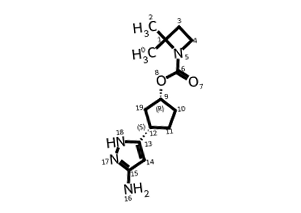 CC1(C)CCN1C(=O)O[C@@H]1CC[C@H](c2cc(N)n[nH]2)C1